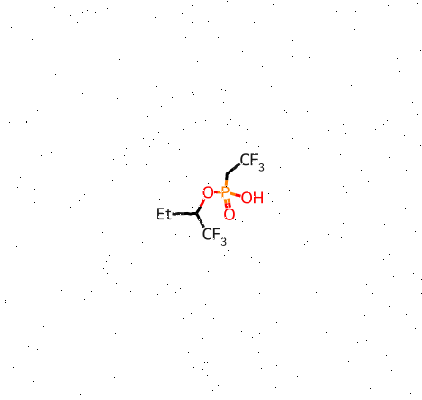 CCC(OP(=O)(O)CC(F)(F)F)C(F)(F)F